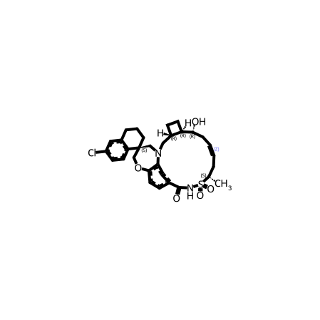 C[C@H]1C/C=C\C[C@@H](O)[C@@H]2CC[C@H]2CN2C[C@@]3(CCCc4cc(Cl)ccc43)COc3ccc(cc32)C(=O)NS1(=O)=O